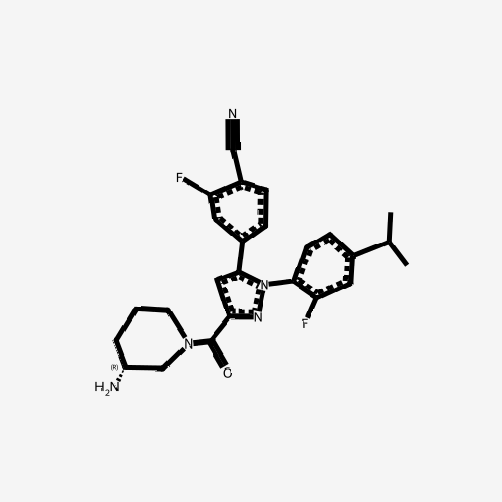 CC(C)c1ccc(-n2nc(C(=O)N3CCC[C@@H](N)C3)cc2-c2ccc(C#N)c(F)c2)c(F)c1